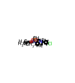 C#CC(CC)(c1ccc(Cl)cc1)n1ccc2c(N(COCC[Si](C)(C)C)S(C)(=O)=O)cccc21